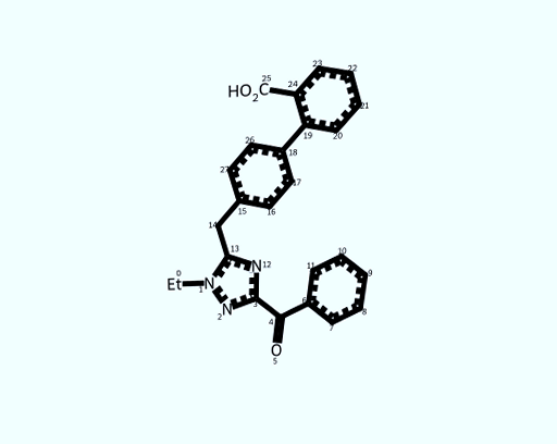 CCn1nc(C(=O)c2ccccc2)nc1Cc1ccc(-c2ccccc2C(=O)O)cc1